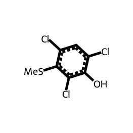 CSc1c(Cl)cc(Cl)c(O)c1Cl